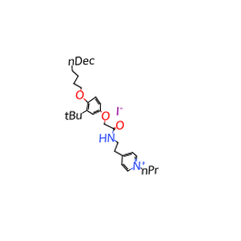 CCCCCCCCCCCCCCOc1ccc(OCC(=O)NCCc2cc[n+](CCC)cc2)cc1C(C)(C)C.[I-]